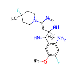 CC(C)Oc1cc(C(=N)C2(C)C=C(N3CCC(F)(C#N)CC3)N=CN2)c(N)cc1F